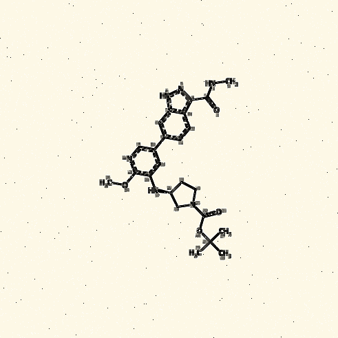 CNC(=O)c1n[nH]c2cc(-c3cnc(OC)c(N[C@H]4CCN(C(=O)OC(C)(C)C)C4)c3)ccc12